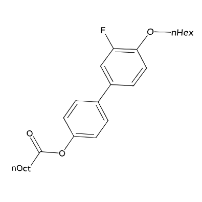 CCCCCCCCC(=O)Oc1ccc(-c2ccc(OCCCCCC)c(F)c2)cc1